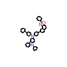 C1=CC(N(c2ccc(-c3ccc4ccc5oc(-c6ccccc6)nc5c4c3)cc2)c2ccc3c(c2)c2ccccc2n3-c2ccccc2)CC=C1c1ccccc1